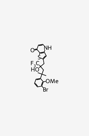 COc1c(Br)cccc1C(C)(C)CC(O)(Cc1cc2[nH]ccc(=O)c2s1)C(F)(F)F